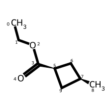 CCOC(=O)[C@H]1C[C@@H](C)C1